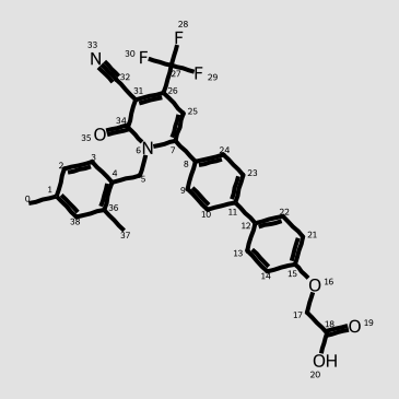 Cc1ccc(Cn2c(-c3ccc(-c4ccc(OCC(=O)O)cc4)cc3)cc(C(F)(F)F)c(C#N)c2=O)c(C)c1